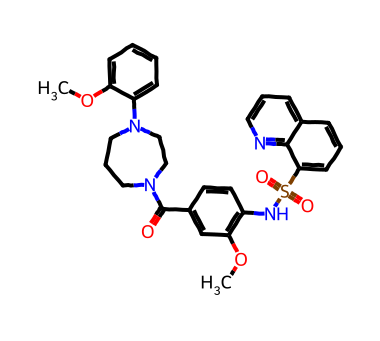 COc1cc(C(=O)N2CCCN(c3ccccc3OC)CC2)ccc1NS(=O)(=O)c1cccc2cccnc12